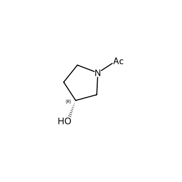 CC(=O)N1CC[C@@H](O)C1